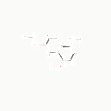 CCOC1=CCc2c(O)ccc(O)c2C1